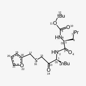 CCCC[C@H](NC(=O)[C@H](CC(C)C)NC(=O)OC(C)(C)C)C(=O)CSCc1ccco1